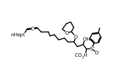 CCCCCCCC=C=CCCCCCCCC(CC(O)C(C(=O)O)[S+]([O-])c1ccc(C)cc1)OC1CCCCO1